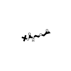 CC(C)(C)OC(=O)NCCOCC1CO1